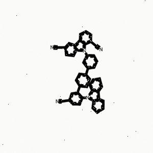 N#Cc1ccc(-n2c3ccccc3c3ccccc32)c(-c2ccc(-c3cccc(-n4c5ccc(C#N)cc5c5cccc(C#N)c54)c3)cc2)c1